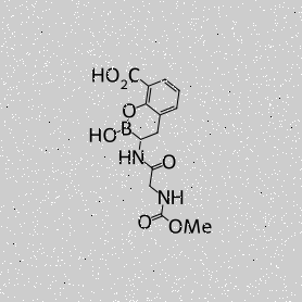 COC(=O)NCC(=O)NC1Cc2cccc(C(=O)O)c2OB1O